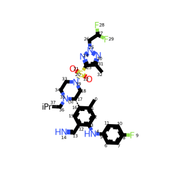 Cc1cc(Nc2ccc(F)cc2)c(C=N)cc1[C@H]1CN(S(=O)(=O)c2nn(CC(F)F)nc2C)CCN1CC(C)C